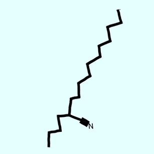 [CH2]CCCCCCCCCCC(C#N)CCCC